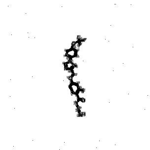 N=[N+]=NC(=O)c1ccc(OCc2ncn(-c3ccc(OC(F)(F)F)cc3)n2)cc1F